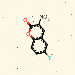 O=c1oc2ccc(F)cc2cc1[N+](=O)[O-]